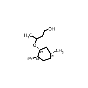 CC(CCO)O[C@@H]1C[C@H](C)CC[C@H]1C(C)C